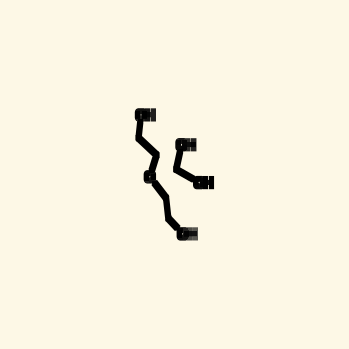 OCCOCCO.OCO